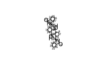 O=C1N=C(Nc2cccc3c2C(=O)c2cccc(NC4=NC(=O)c5ccccc54)c2C3=O)c2ccccc21